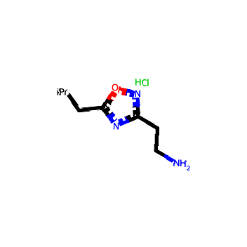 CC(C)Cc1nc(CCN)no1.Cl